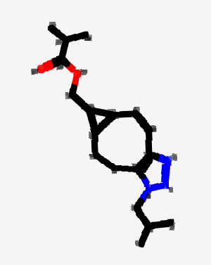 CC(C)Cn1nnc2c1CCC1C(CC2)C1COC(=O)C(C)C